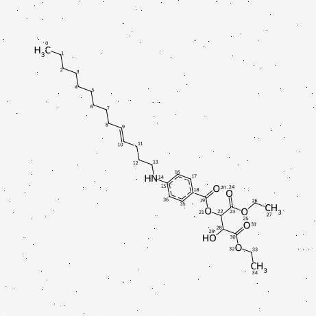 CCCCCCCCCC=CCCCNc1ccc(C(=O)OC(C(=O)OCC)C(O)C(=O)OCC)cc1